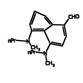 CCCN(C)c1cccc2c(C=O)ccc(N(C)CCC)c12